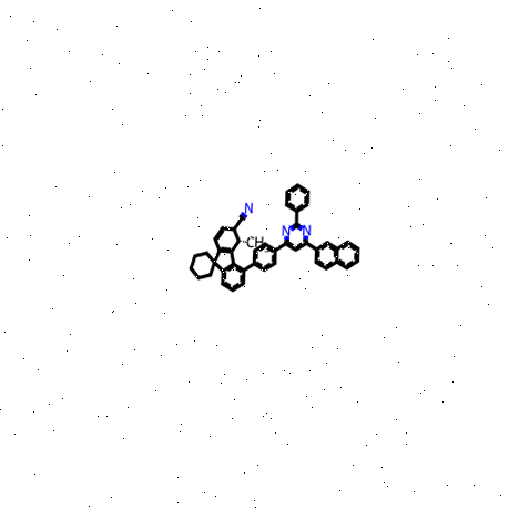 C[C@@H]1C2=C(C=CC1C#N)C1(CCCCC1)c1cccc(-c3ccc(-c4cc(-c5ccc6ccccc6c5)nc(-c5ccccc5)n4)cc3)c12